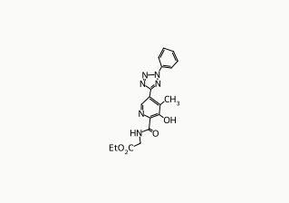 CCOC(=O)CNC(=O)c1ncc(-c2nnn(-c3ccccc3)n2)c(C)c1O